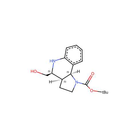 CC(C)(C)OC(=O)N1CC[C@@H]2[C@H]1c1ccccc1N[C@@H]2CO